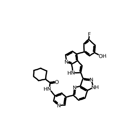 O=C(Nc1cncc(-c2ccc3[nH]nc(-c4cc5c(-c6cc(O)cc(F)c6)ccnc5[nH]4)c3n2)c1)C1CCCCC1